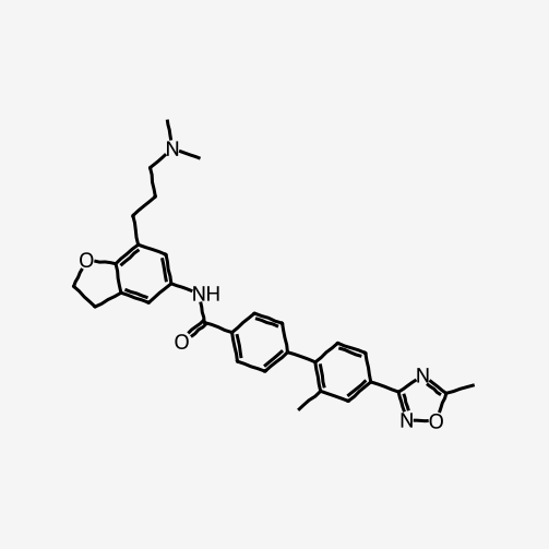 Cc1nc(-c2ccc(-c3ccc(C(=O)Nc4cc(CCCN(C)C)c5c(c4)CCO5)cc3)c(C)c2)no1